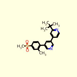 Cc1cc(S(C)(=O)=O)ccc1-c1cncc(-c2ccnc(C(C)(C)C)c2)c1